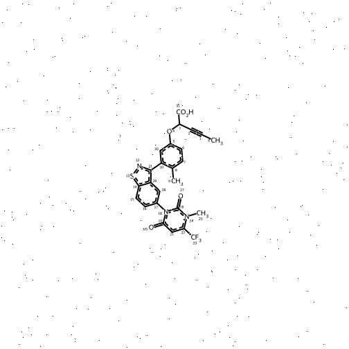 CC#CC(Oc1ccc(C)c(-c2nsc3ccc(-n4c(=O)cc(C(F)(F)F)n(C)c4=O)cc23)c1)C(=O)O